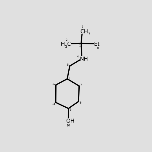 CCC(C)(C)NCC1CCC(O)CC1